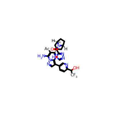 CC(=O)c1c([C@@H]2C[C@H]3CC[C@@H](C2)N3C(=O)c2nnc[nH]2)nc2c(-c3ccc(C(O)C(F)(F)F)nc3)cnn2c1N